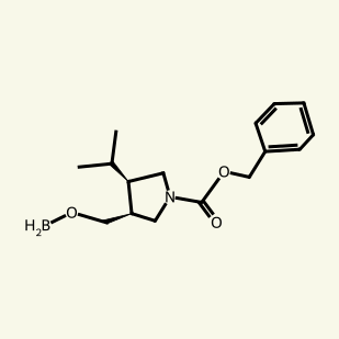 BOC[C@@H]1CN(C(=O)OCc2ccccc2)C[C@@H]1C(C)C